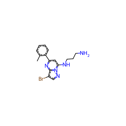 Cc1ccccc1-c1cc(NCCCN)n2ncc(Br)c2n1